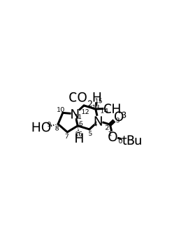 CC(C)(C)OC(=O)N1C[C@H]2C[C@H](O)CN2C[C@@]1(C)C(=O)O